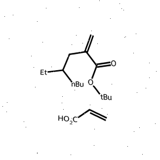 C=C(CC(CC)CCCC)C(=O)OC(C)(C)C.C=CC(=O)O